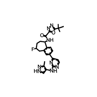 Cc1n[nH]cc1Nc1nccc(-c2ccc3c(c2)CC(F)CCC3NC(=O)c2nnc(C(C)(C)C)o2)n1